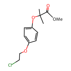 COC(=O)C(C)(C)Oc1ccc(OCCCl)cc1